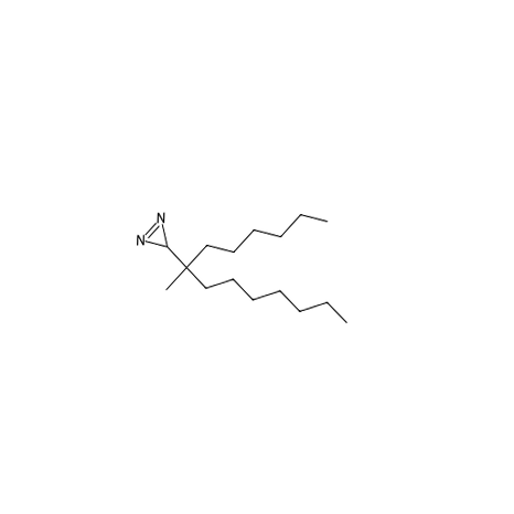 CCCCCCCC(C)(CCCCCC)C1N=N1